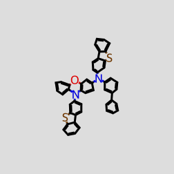 c1ccc(-c2cccc(N(c3ccc4c(c3)Oc3ccccc3N4c3ccc4c(c3)sc3ccccc34)c3ccc4c(c3)sc3ccccc34)c2)cc1